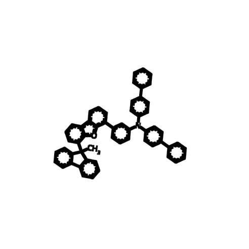 CC1(c2cccc3c2oc2c(-c4cccc(N(c5ccc(-c6ccccc6)cc5)c5ccc(-c6ccccc6)cc5)c4)cccc23)c2ccccc2-c2ccccc21